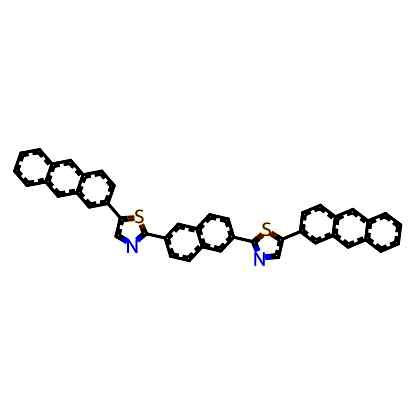 c1ccc2cc3cc(-c4cnc(-c5ccc6cc(-c7ncc(-c8ccc9cc%10ccccc%10cc9c8)s7)ccc6c5)s4)ccc3cc2c1